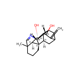 C=C1C2CC3[C@H]4N=CC5(C)CCC[C@@]46[C@@H]5C[C@@H](O)C3([C@@H]1O)[C@H]6C2